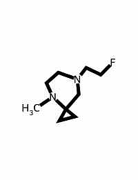 CN1CCN(CCF)CC12CC2